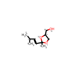 CC(C)C=CC1(C)OCC(CO)O1